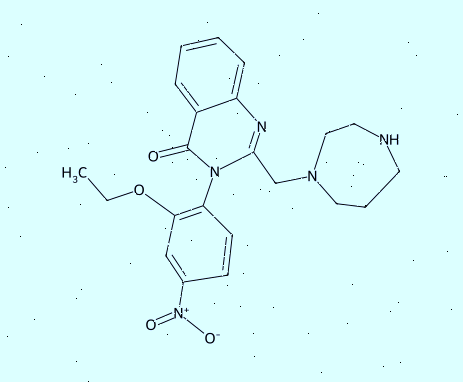 CCOc1cc([N+](=O)[O-])ccc1-n1c(CN2CCCNCC2)nc2ccccc2c1=O